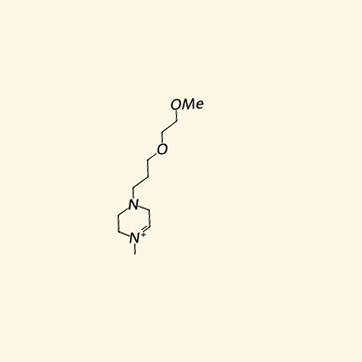 COCCOCCCN1CC=[N+](C)CC1